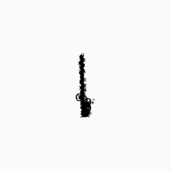 CCCCCCCCCCCCCCCCCC(=O)OCC(=Cc1ccccc1)[N+](=O)[O-]